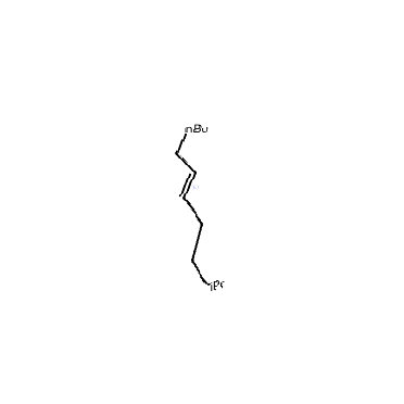 CCCCC/C=C/CCC(C)C